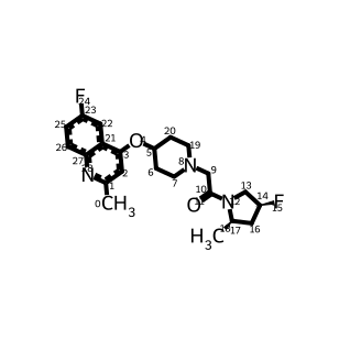 Cc1cc(OC2CCN(CC(=O)N3C[C@@H](F)C[C@H]3C)CC2)c2cc(F)ccc2n1